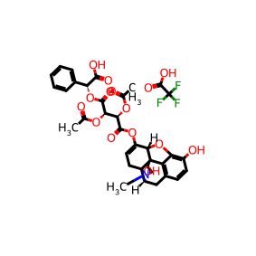 CC(=O)O[C@@H](C(=O)OC1=CC[C@@]2(O)[C@H]3Cc4ccc(O)c5c4[C@@]2(CCN3C)[C@H]1O5)[C@@H](OC(C)=O)C(=O)O[C@@H](C(=O)O)c1ccccc1.O=C(O)C(F)(F)F